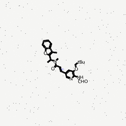 Cc1c(C(C)N(C)C(=O)/C=C/c2cnc(NC=O)c(OCC(C)(C)C)c2)oc2ccccc12